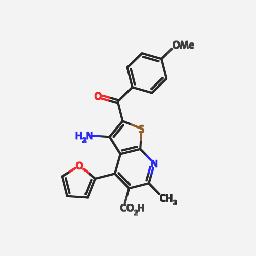 COc1ccc(C(=O)c2sc3nc(C)c(C(=O)O)c(-c4ccco4)c3c2N)cc1